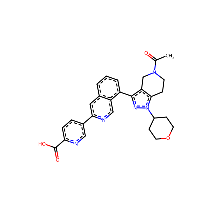 CC(=O)N1CCc2c(c(-c3cccc4cc(-c5ccc(C(=O)O)nc5)ncc34)nn2C2CCOCC2)C1